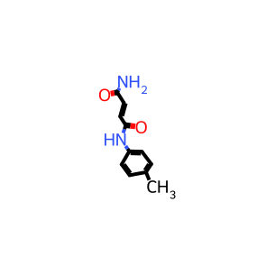 Cc1ccc(NC(=O)/C=C/C(N)=O)cc1